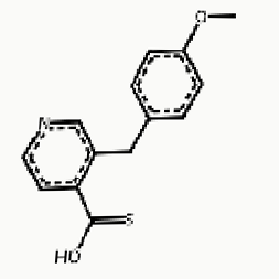 COc1ccc(Cc2cnccc2C(O)=S)cc1